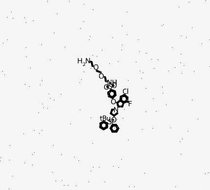 CC(C)(C)[Si](O[C@@H]1CCN([C@H]2Cc3c(F)cc(Cl)cc3[C@@H]2Oc2ccc(S(=O)(=O)NCCOCCOCCN)cc2)C1)(c1ccccc1)c1ccccc1